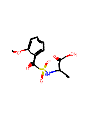 COc1ccccc1C(=O)S(=O)(=O)NC(C)C(=O)O